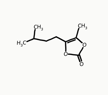 C[C](C)CCc1oc(=O)oc1C